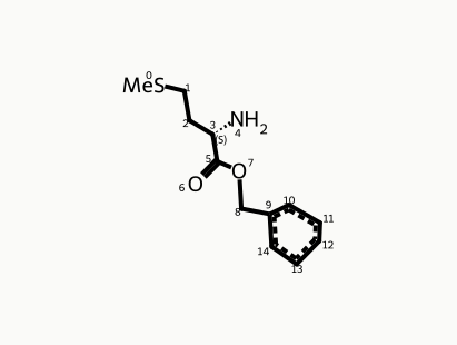 CSCC[C@H](N)C(=O)OCc1ccccc1